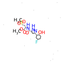 COC(=O)C(CCS(C)(=O)=O)NC(=O)c1cc(-c2cc(F)ccc2O)n[nH]1